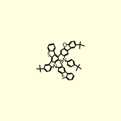 CC(C)(C)c1ccc(N2B3c4cc5c(cc4-n4c6ccc(C(C)(C)C)cc6c6c7sc8ccccc8c7c(c3c64)-c3cc4oc6ccc(C(C)(C)C)cc6c4cc32)sc2ccccc25)cc1